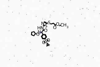 CCOC(=O)CCSc1cnc(NC(=O)/C(=N/OC2CCCC2)c2ccc(S(=O)(=O)C3CC3)cc2)s1